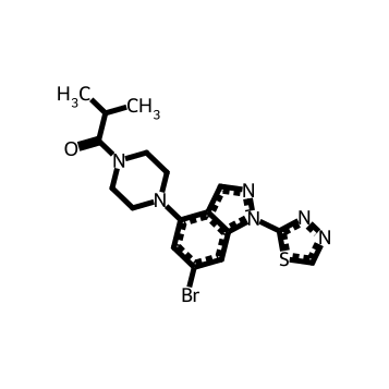 CC(C)C(=O)N1CCN(c2cc(Br)cc3c2cnn3-c2nncs2)CC1